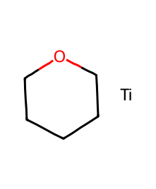 C1CCOCC1.[Ti]